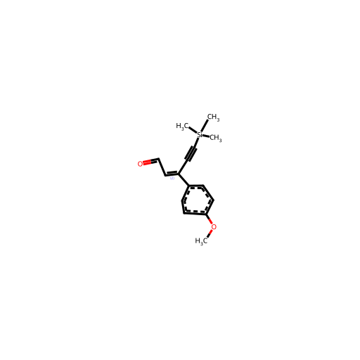 COc1ccc(/C(C#C[Si](C)(C)C)=C/C=O)cc1